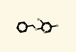 Brc1cnc(OCc2ccccc2)c(Br)c1